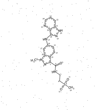 Cn1nc(C(=O)NCCS(C)(=O)=O)c2ccc(Nc3n[nH]c4cccnc34)cc21